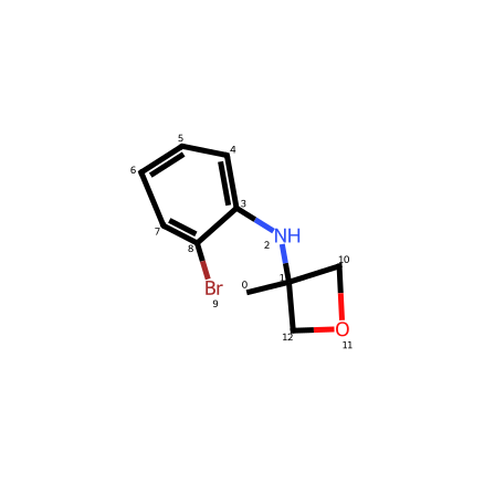 CC1(Nc2ccccc2Br)COC1